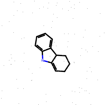 C1=C2[N]c3ccccc3C2CCC1